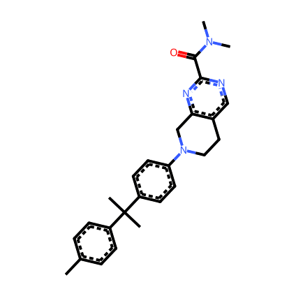 Cc1ccc(C(C)(C)c2ccc(N3CCc4cnc(C(=O)N(C)C)nc4C3)cc2)cc1